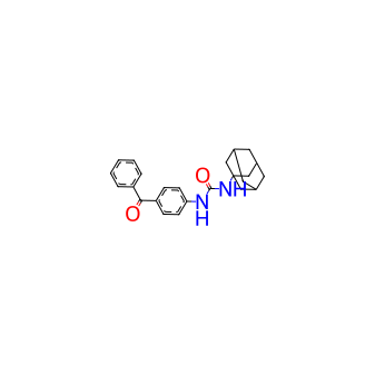 O=C(Nc1ccc(C(=O)c2ccccc2)cc1)NC12CC3CC(CC(C3)C1)C2